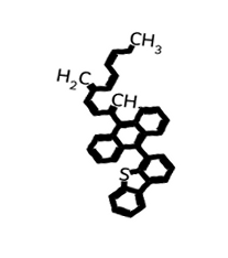 C=C(/C=C\C=C/CC)/C=C\C(=C)c1c2ccccc2c(-c2cccc3c2sc2ccccc23)c2ccccc12